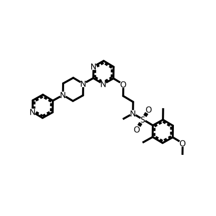 COc1cc(C)c(S(=O)(=O)N(C)CCOc2ccnc(N3CCN(c4ccncc4)CC3)n2)c(C)c1